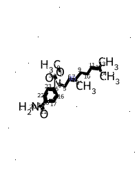 COC(=O)N(C/C=C(\C)CCC=C(C)C)c1ccc(C(N)=O)cc1